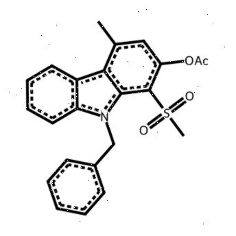 CC(=O)Oc1cc(C)c2c3ccccc3n(Cc3ccccc3)c2c1S(C)(=O)=O